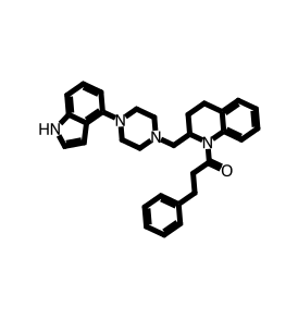 O=C(CCc1ccccc1)N1c2ccccc2CCC1CN1CCN(c2cccc3[nH]ccc23)CC1